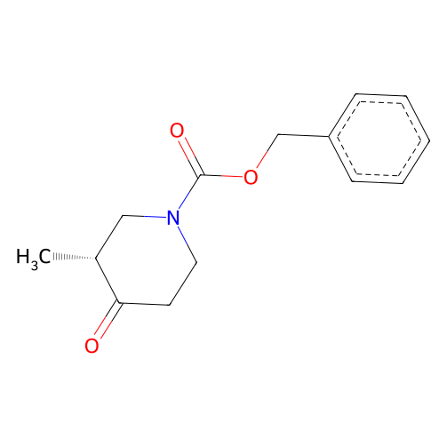 C[C@@H]1CN(C(=O)OCc2ccccc2)CCC1=O